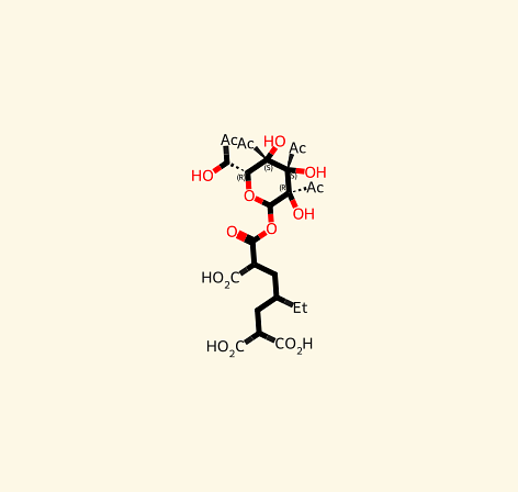 CCC(CC(C(=O)O)C(=O)O)CC(C(=O)O)C(=O)OC1O[C@H](C(O)C(C)=O)[C@@](O)(C(C)=O)[C@@](O)(C(C)=O)[C@]1(O)C(C)=O